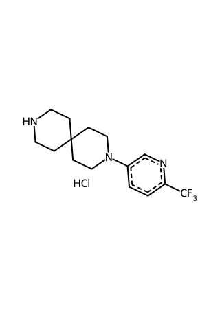 Cl.FC(F)(F)c1ccc(N2CCC3(CCNCC3)CC2)cn1